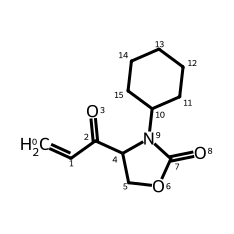 C=CC(=O)C1COC(=O)N1C1CCCCC1